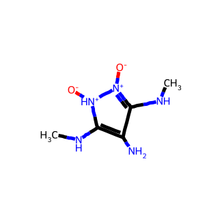 CNC1=C(N)C(NC)=[N+]([O-])[NH+]1[O-]